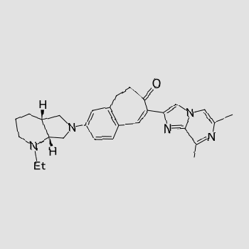 CCN1CCC[C@@H]2CN(c3ccc4c(c3)CCC(=O)C(c3cn5cc(C)nc(C)c5n3)=C4)C[C@@H]21